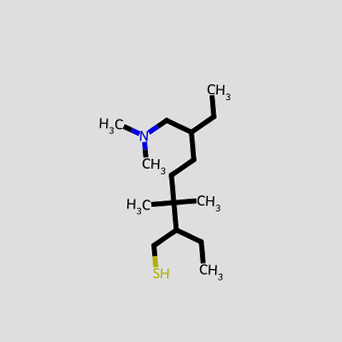 CCC(CCC(C)(C)C(CC)CS)CN(C)C